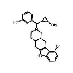 Oc1cccc(C(C2CC2O)N2CCC3Cc4[nH]c5cccc(Br)c5c4CC3C2)c1